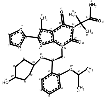 Cc1c(-c2ncco2)sc2c1c(=O)n(C(C)(C)C(N)=O)c(=O)n2C[C@H](OC1CCC(O)CC1)c1ccccc1OC(C)C